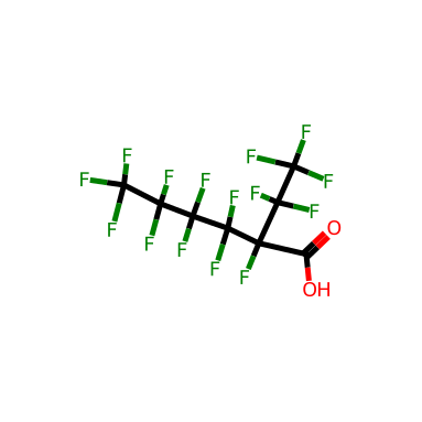 O=C(O)C(F)(C(F)(F)C(F)(F)F)C(F)(F)C(F)(F)C(F)(F)C(F)(F)F